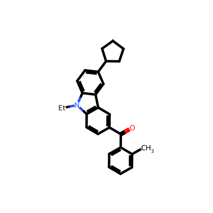 CCn1c2ccc(C(=O)c3ccccc3C)cc2c2cc(C3C[CH]CC3)ccc21